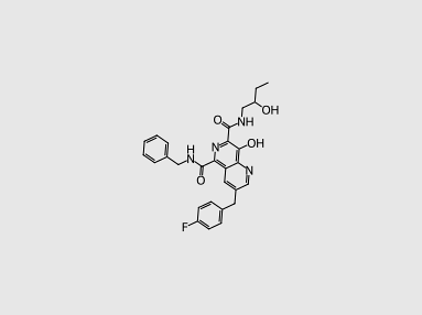 CCC(O)CNC(=O)c1nc(C(=O)NCc2ccccc2)c2cc(Cc3ccc(F)cc3)cnc2c1O